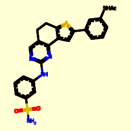 CC(=O)Nc1cccc(-c2cc3c(s2)CCc2cnc(Nc4cccc(S(N)(=O)=O)c4)nc2-3)c1